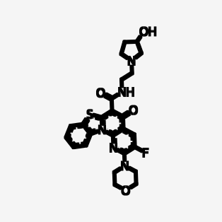 O=C(NCCN1CCC(O)C1)c1c(=O)c2cc(F)c(N3CCOCC3)nc2n2c1sc1ccccc12